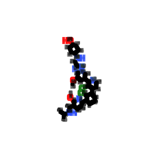 COc1nc(-c2cccc(-c3ccnc(-c4cc(OC)c5nc(CNC6CCC(O)CC6)nn5c4)c3Cl)c2Cl)ccc1CNC(C)C